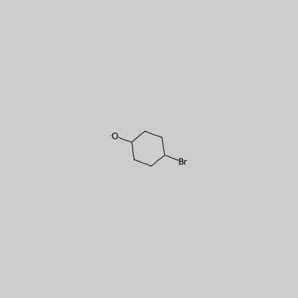 [O]C1CCC(Br)CC1